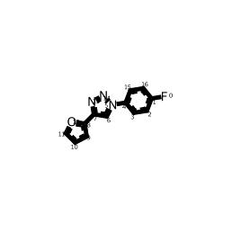 Fc1ccc(-n2cc(-c3ccco3)nn2)cc1